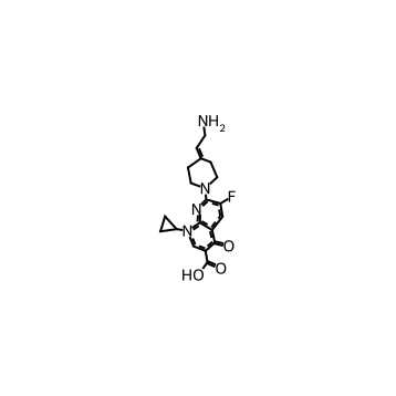 NCC=C1CCN(c2nc3c(cc2F)c(=O)c(C(=O)O)cn3C2CC2)CC1